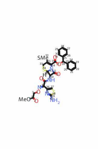 COC(=O)CO/N=C(/C(=O)NC1C(=O)N2C(C(=O)OC(c3ccccc3)c3ccccc3)=C(SC)CS[C@H]12)c1csc(N)n1